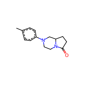 Cc1ccc(N2CCN3C(=O)CCC3C2)cc1